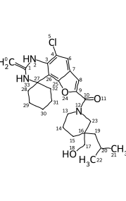 C=C1Nc2c(Cl)cc3cc(C(=O)N4CCCC(CO)(CC(C)C)C4)oc3c2C2(CCCCC2)N1